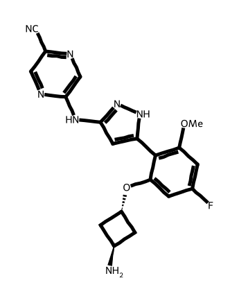 COc1cc(F)cc(O[C@H]2C[C@H](N)C2)c1-c1cc(Nc2cnc(C#N)cn2)n[nH]1